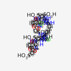 Cn1c(=O)c(C(=O)c2cccc(S(=O)(=O)O)c2)c2c3c(c(Nc4cc(Nc5nc(Cl)nc(NC6CCC(CC7CCC(Nc8nc(Cl)nc(Nc9cc(Nc%10ccc%11c%12c%10C(=O)c%10ccccc%10-c%12c(C(=O)c%10cccc(S(=O)(=O)O)c%10)c(=O)n%11C)c(S(=O)(=O)O)cc9S(=O)(=O)O)n8)CC7)CC6)n5)c(S(=O)(=O)O)cc4S(=O)(=O)O)ccc31)C(=O)c1ccccc1-2